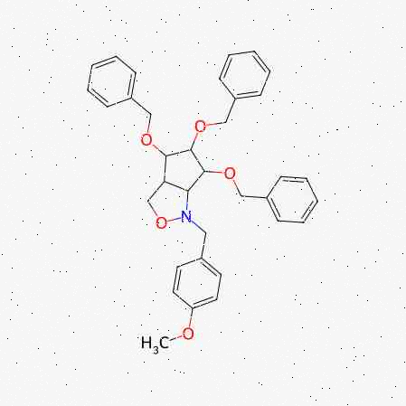 COc1ccc(CN2OCC3C(OCc4ccccc4)C(OCc4ccccc4)C(OCc4ccccc4)C32)cc1